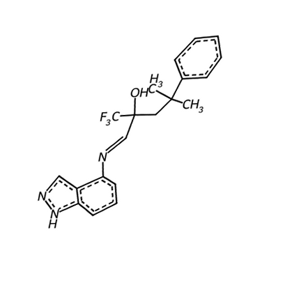 CC(C)(CC(O)(C=Nc1cccc2[nH]ncc12)C(F)(F)F)c1ccccc1